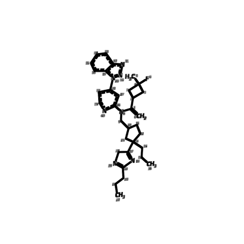 C=C(C1CC(C)(F)C1)N(CC1CCC(CCC)(C2=NC(CCC)=NC2)C1)c1cc(-n2nnc3ccccc32)ccn1